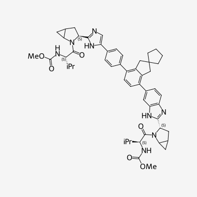 COC(=O)N[C@H](C(=O)N1C2CC2C[C@H]1c1ncc(-c2ccc(-c3ccc(-c4ccc5nc([C@@H]6CC7CC7N6C(=O)[C@@H](NC(=O)OC)C(C)C)[nH]c5c4)c4c3CC3(CCCC3)C4)cc2)[nH]1)C(C)C